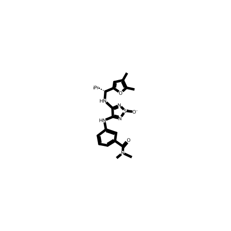 Cc1cc([C@H](Nc2n[s+]([O-])nc2Nc2cccc(C(=O)N(C)C)c2)C(C)C)oc1C